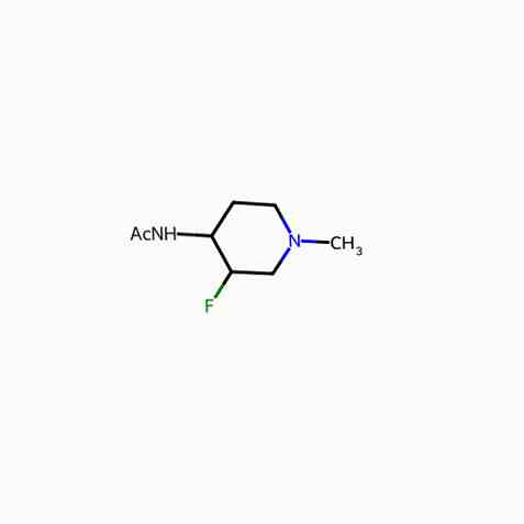 CC(=O)NC1CCN(C)CC1F